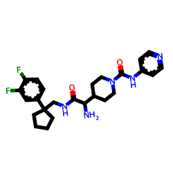 NC(C(=O)NCC1(c2ccc(F)c(F)c2)CCCC1)C1CCN(C(=O)Nc2ccncc2)CC1